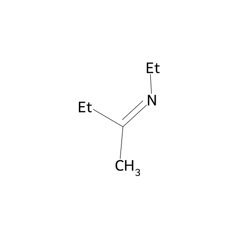 CC/N=C(/C)CC